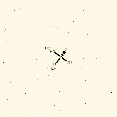 [CH2]CP(=O)(O)O.[Na+].[OH-]